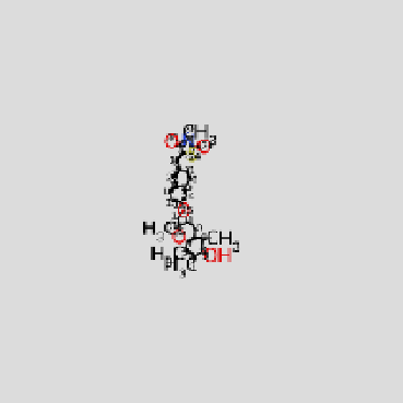 Cc1c(C)c2c(c(C)c1O)CCC(C)(COc1ccc3cc(/C=C4\SC(=O)N(C)C4=O)ccc3c1)O2